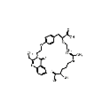 CCOC(Cc1ccc(OCCn2c(CC)nc3ccccc3c2=O)cc1)C(=O)O.N=C(N)NCCCC(N)C(=O)O